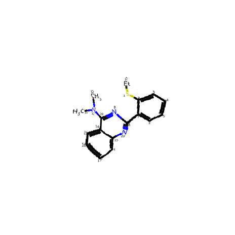 CCSc1ccccc1-c1nc(N(C)C)c2ccccc2n1